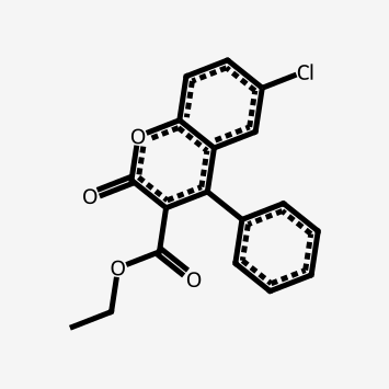 CCOC(=O)c1c(-c2ccccc2)c2cc(Cl)ccc2oc1=O